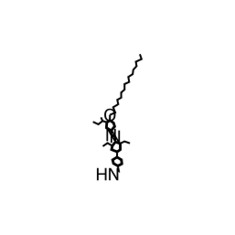 CCCCCCCCCCCCCCCCOc1ccc(/N=N/c2c(CC)cc(-c3ccc(C=N)cc3)cc2CC)cc1C(C)CC